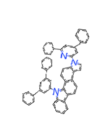 c1ccc(-c2cc(-c3ccccc3)cc(-n3c4ccccc4c4ccc5c6ccn(-c7cc(-c8ccccc8)cc(-c8ccccc8)n7)c6ccc5c43)c2)cc1